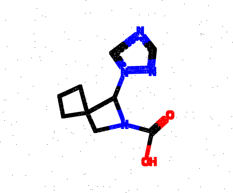 O=C(O)N1CC2(CCC2)C1n1cncn1